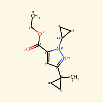 CCOC(=O)c1cc(C2(C)CC2)nn1C1CC1